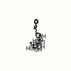 CSC1O[C@H]([C@H](NC(=O)[C@@H]2CC[C@H](CCC3(C)CC(c4ccccc4)C3)CCN2)[C@H](C)Cl)C(O)C(O)[C@H]1O